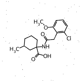 COc1cccc(Cl)c1CC(=O)NC1(C(=O)O)CCCC(C)C1